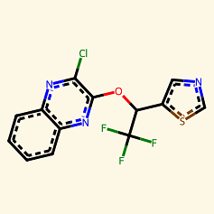 FC(F)(F)C(Oc1nc2ccccc2nc1Cl)c1cncs1